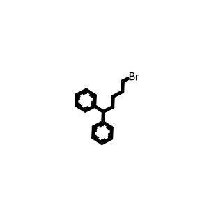 BrCCCCC(c1ccccc1)c1ccccc1